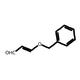 O=[C]C=COCc1ccccc1